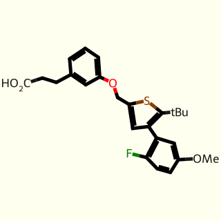 COc1ccc(F)c(-c2cc(COc3cccc(CCC(=O)O)c3)sc2C(C)(C)C)c1